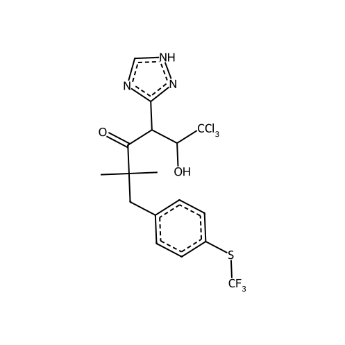 CC(C)(Cc1ccc(SC(F)(F)F)cc1)C(=O)C(c1nc[nH]n1)C(O)C(Cl)(Cl)Cl